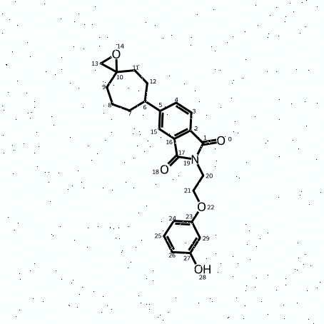 O=C1c2ccc(C3CCCC4(CC3)CO4)cc2C(=O)N1CCOc1cccc(O)c1